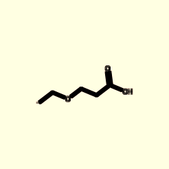 [CH2]COCCC(=O)O